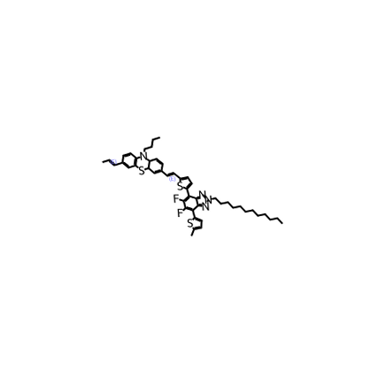 C/C=C/c1ccc2c(c1)SC1C=C(/C=C/c3ccc(-c4c(F)c(F)c(-c5ccc(C)s5)c5nn(CCCCCCCCCCCC)nc45)s3)C=CC1N2CCCC